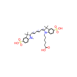 C[N+]1=C(/C=C/C=C/C=C2\N(CCCCCC(=O)O)c3ccc(S(=O)(=O)O)cc3C2(C)C)C(C)(C)c2cc(S(=O)(=O)O)ccc21